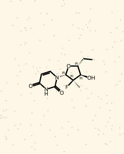 [CH2]C[C@H]1O[C@@H](n2ccc(=O)[nH]c2=O)[C@](C)(F)[C@@H]1O